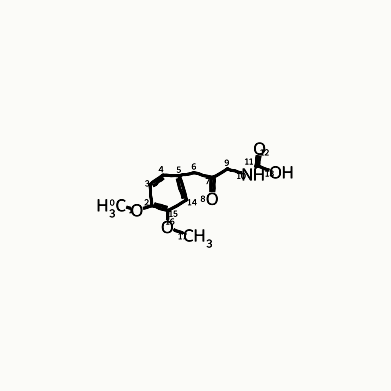 COc1ccc(CC(=O)CNC(=O)O)cc1OC